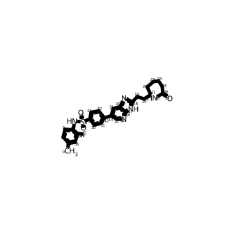 Cc1ccc(NS(=O)(=O)c2ccc(-c3cnc4[nH]c(CCC5CCCCC(=O)N5)nc4c3)cc2)c(F)c1